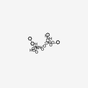 O=C(COC1CC(CNc2ccccn2)N(OC(=O)OCc2ccccc2)C1)NCC(NC(=O)c1ccc(-c2ccccc2)cc1)C(=O)O